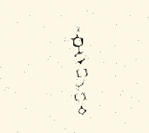 COc1ccc(-c2cnc(N3CCN(CC(=O)N4CCN(C5CCC5)CC4)CC3)cn2)cc1OC